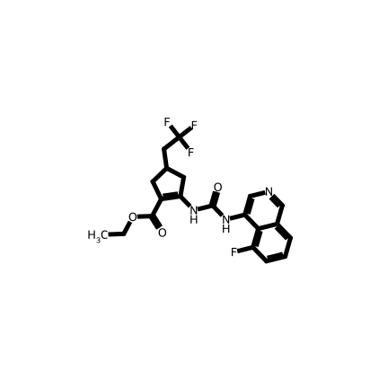 CCOC(=O)C1=C(NC(=O)Nc2cncc3cccc(F)c23)CC(CC(F)(F)F)C1